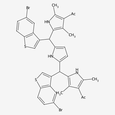 CC(=O)c1c(C)[nH]c(C(c2ccc(C(c3[nH]c(C)c(C(C)=O)c3C)c3csc4ccc(Br)cc34)[nH]2)c2csc3ccc(Br)cc23)c1C